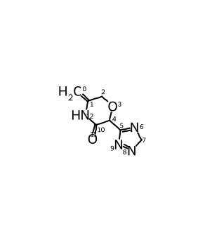 C=C1COC(C2=NCN=N2)C(=O)N1